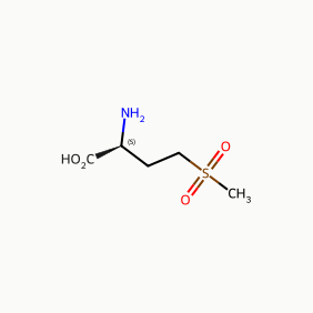 CS(=O)(=O)CC[C@H](N)C(=O)O